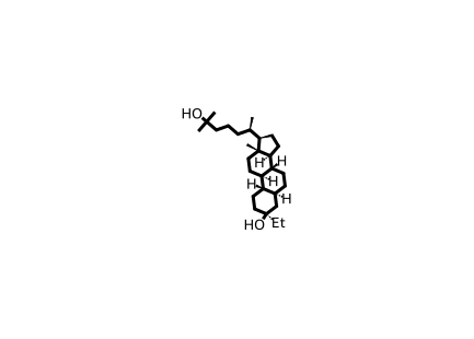 CC[C@]1(O)CC[C@H]2[C@@H](CC[C@@H]3[C@@H]2CC[C@]2(C)[C@@H]([C@H](C)CCCC(C)(C)O)CC[C@@H]32)C1